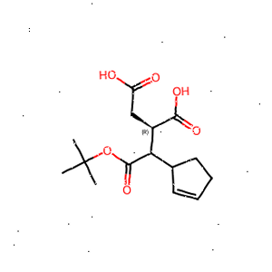 CC(C)(C)OC(=O)C(C1C=CCC1)[C@@H](CC(=O)O)C(=O)O